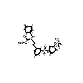 CC(C)(C)OC(=O)N(CCc1cccc(S(=O)(=O)c2cccc(OS(=O)(=O)C(F)(F)F)c2)c1)Cc1ccccc1